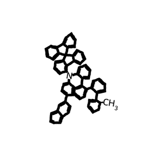 C[C@H]1CC=CC=C1c1ccccc1-c1ccccc1-c1ccccc1N(c1ccc(-c2ccc3ccccc3c2)cc1)c1cccc2c1-c1ccccc1C21c2ccccc2-c2ccccc21